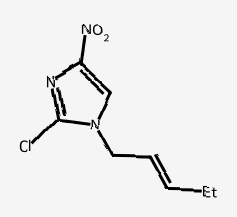 CC/C=C/Cn1cc([N+](=O)[O-])nc1Cl